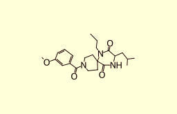 CCCN1C(=O)C(CC(C)C)NC(=O)C12CCN(C(=O)c1cccc(OC)c1)CC2